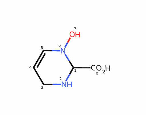 O=C(O)C1NCC=CN1O